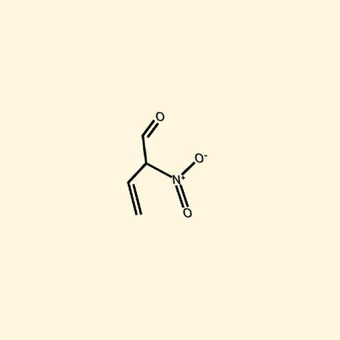 C=CC(C=O)[N+](=O)[O-]